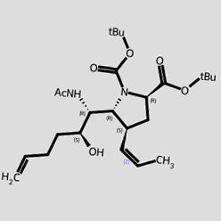 C=CCC[C@H](O)[C@H](NC(C)=O)[C@H]1[C@H](/C=C\C)C[C@H](C(=O)OC(C)(C)C)N1C(=O)OC(C)(C)C